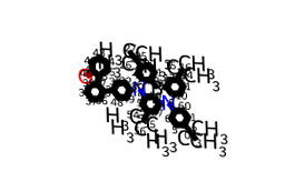 CC(C)(C)c1ccc(N2c3ccc(C(C)(C)C)cc3B3c4ccc(C(C)(C)C)cc4N(c4ccc(-c5cccc6oc7ccccc7c56)cc4)c4cc(C(C)(C)C)cc2c43)cc1